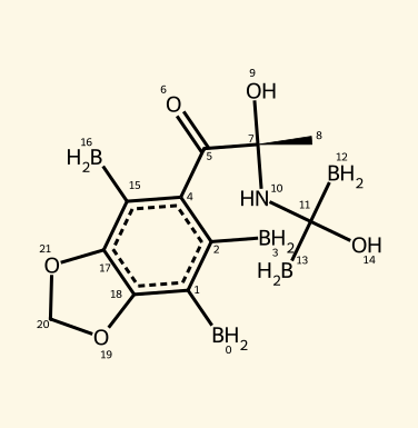 Bc1c(B)c(C(=O)[C@](C)(O)NC(B)(B)O)c(B)c2c1OCO2